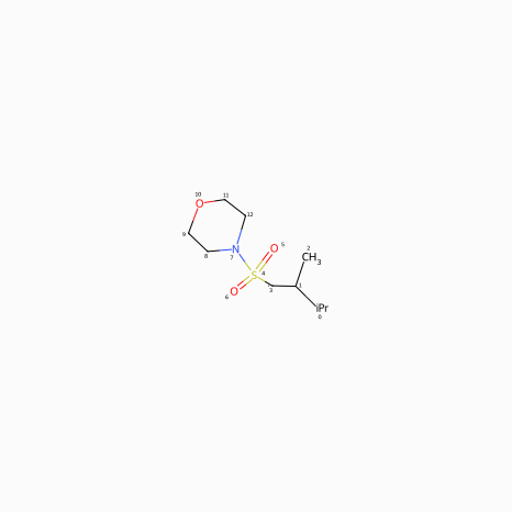 CC(C)C(C)[CH]S(=O)(=O)N1CCOCC1